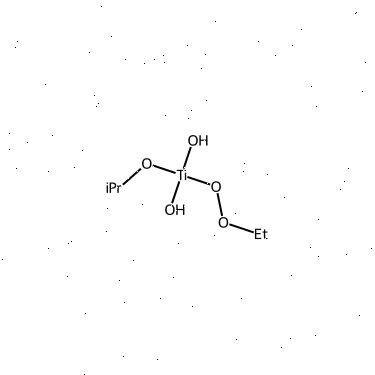 CCO[O][Ti]([OH])([OH])[O]C(C)C